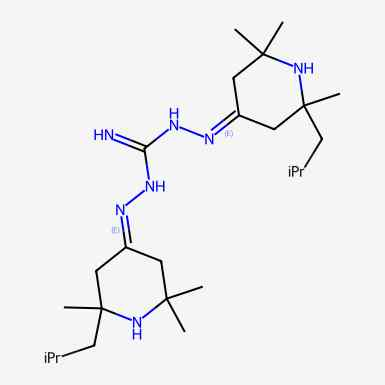 CC(C)CC1(C)C/C(=N/NC(=N)N/N=C2\CC(C)(C)NC(C)(CC(C)C)C2)CC(C)(C)N1